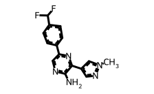 Cn1cc(-c2nc(-c3ccc(C(F)F)cc3)cnc2N)cn1